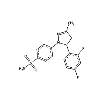 CC1=NN(c2ccc(S(N)(=O)=O)cc2)C(c2ccc(F)cc2F)C1